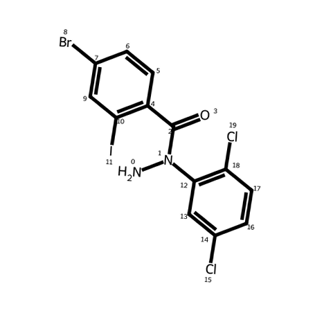 NN(C(=O)c1ccc(Br)cc1I)c1cc(Cl)ccc1Cl